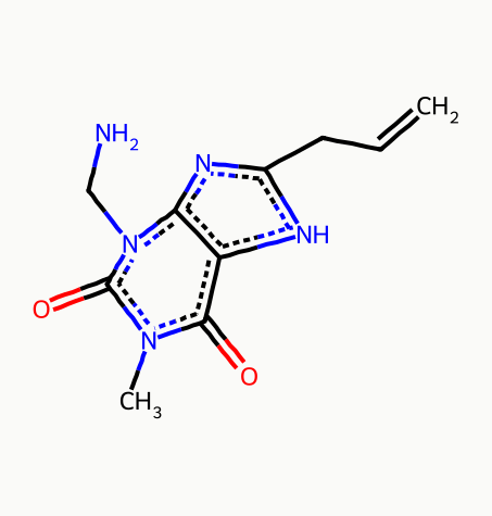 C=CCc1nc2c([nH]1)c(=O)n(C)c(=O)n2CN